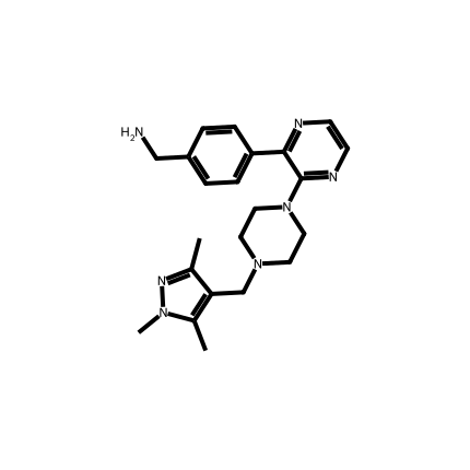 Cc1nn(C)c(C)c1CN1CCN(c2nccnc2-c2ccc(CN)cc2)CC1